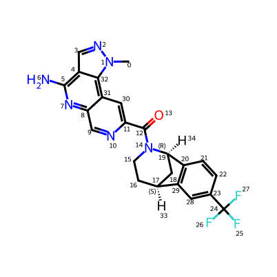 Cn1ncc2c(N)nc3cnc(C(=O)N4CC[C@H]5C[C@@H]4c4ccc(C(F)(F)F)cc45)cc3c21